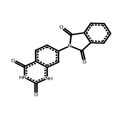 O=C1c2ccccc2C(=O)N1c1ccc2c(=O)[nH]c(=O)[nH]c2c1